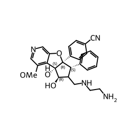 COc1cncc2c1[C@]1(O)[C@H](O)C(CNCCN)[C@@H](c3ccccc3)[C@]1(c1ccc(C#N)cc1)O2